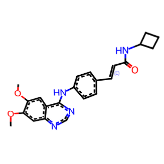 COc1cc2ncnc(Nc3ccc(/C=C/C(=O)NC4CCC4)cc3)c2cc1OC